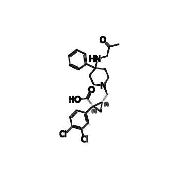 CC(=O)CNC1(c2ccccc2)CCN(C[C@@H]2C[C@@]2(C(=O)O)c2ccc(Cl)c(Cl)c2)CC1